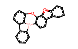 c1ccc2c(c1)B1c3ccc4c(oc5ccccc54)c3Oc3cccc-2c31